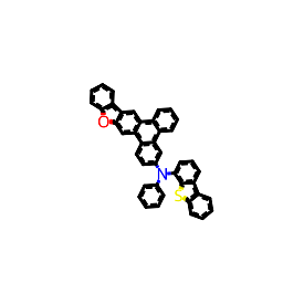 c1ccc(N(c2ccc3c(c2)c2ccccc2c2cc4c(cc32)oc2ccccc24)c2cccc3c2sc2ccccc23)cc1